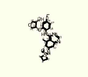 Cc1cc(N=S2(=O)CCC2)cc2ncnc(Nc3ccc(F)cc3O[C@H]3COC[C@H]3O)c12